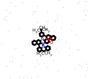 CC(C)(C)c1ccc(N2c3cc4c(cc3B3c5c2cc2ccccc2c5-c2cccc5c2N3c2ccccc2C5(C)C)oc2ccccc24)c(-c2ccccc2)c1